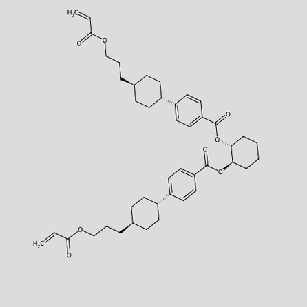 C=CC(=O)OCCC[C@H]1CC[C@H](c2ccc(C(=O)O[C@@H]3CCCC[C@H]3OC(=O)c3ccc([C@H]4CC[C@H](CCCOC(=O)C=C)CC4)cc3)cc2)CC1